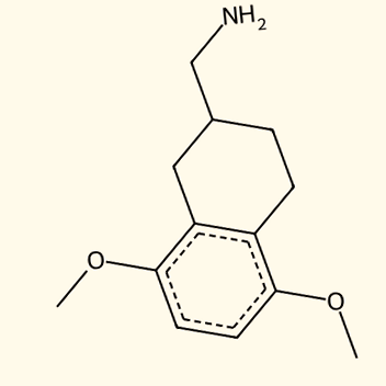 COc1ccc(OC)c2c1CCC(CN)C2